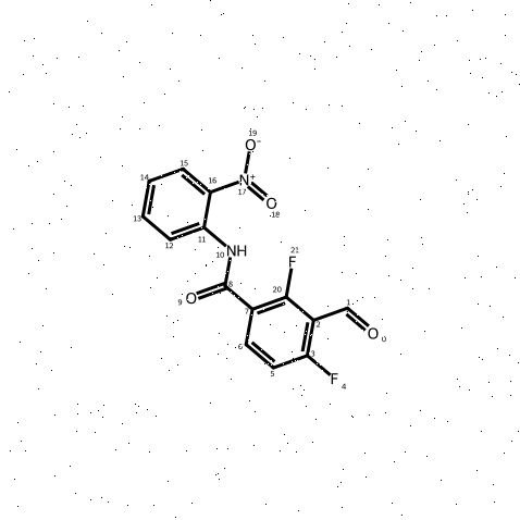 O=[C]c1c(F)ccc(C(=O)Nc2ccccc2[N+](=O)[O-])c1F